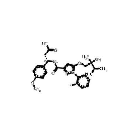 COc1ccc([C@H](CC(=O)O)NC(=O)c2cc(OCC(C)(O)C(C)C)n(-c3ccccc3F)n2)cc1